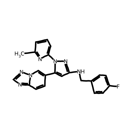 Cc1cccc(-n2nc(NCc3ccc(F)cc3)cc2-c2ccc3ncnn3c2)n1